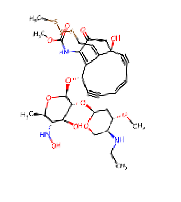 CCN[C@H]1CO[C@@H](O[C@H]2[C@H](O[C@H]3C#C/C=C\C#C[C@@]4(O)CC(=O)C(NC(=O)OC)=C3/C4=C\CSSSC)O[C@H](C)[C@@H](NO)[C@@H]2O)C[C@@H]1OC